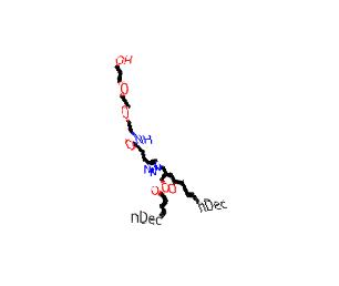 CCCCCCCCCCCCCC(=O)CC(COC(=O)CCCCCCCCCCCCC)Cn1cc(CCC(=O)NCCOCCOCCCO)nn1